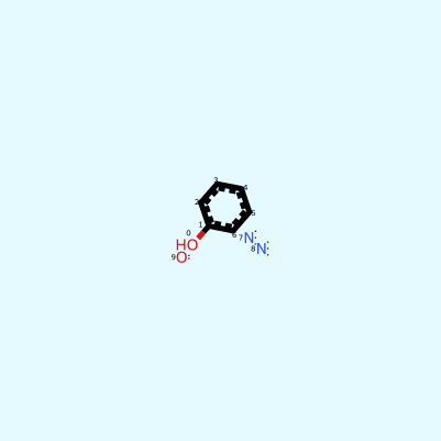 Oc1ccccc1.[N].[N].[O]